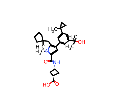 Cn1c(C(=O)N[C@H]2C[C@H](C(=O)O)C2)cc(-c2cc(C(C)(C)O)cc(C3(C)CC3)c2)c1CC1(C)CCCC1